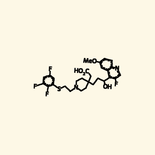 COc1ccc2ncc(F)c([C@@H](O)CCC3(CC(=O)O)CCN(CCSc4cc(F)cc(F)c4F)CC3)c2c1